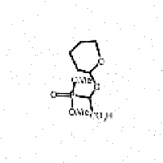 COP(=O)(OC)C(OC1CCCCO1)C(=O)O